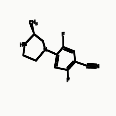 C[C@H]1CN(c2cc(F)c(C#N)cc2F)CCN1